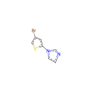 Brc1csc(-n2[c]ncc2)c1